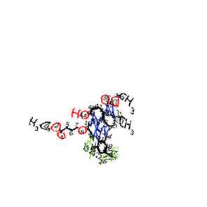 CCOC(=O)CCCOc1cnc(N(Cc2cc(C(F)(F)F)cc(C(F)(F)F)c2)[C@H]2C[C@@H](CC)N(C(=O)OCC)c3ccc(O)nc32)nc1